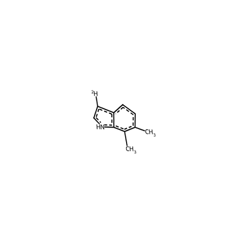 [2H]c1c[nH]c2c(C)c(C)ccc12